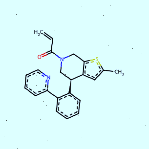 C=CC(=O)N1Cc2sc(C)cc2[C@@H](c2ccccc2-c2ccccn2)C1